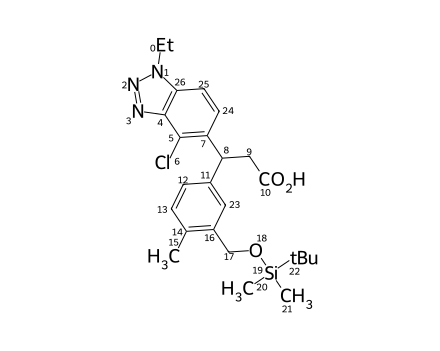 CCn1nnc2c(Cl)c(C(CC(=O)O)c3ccc(C)c(CO[Si](C)(C)C(C)(C)C)c3)ccc21